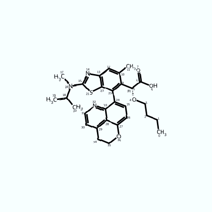 CCCCO[C@@H](C(=O)O)c1c(C)cc2nc(N(C)C(C)C)sc2c1-c1ccc2c3c(ccnc13)CCO2